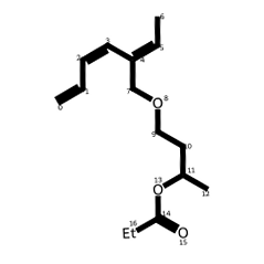 C=C/C=C\C(=C/C)COCCC(C)OC(=O)CC